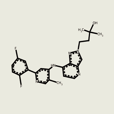 Cc1cnc(-c2cc(F)ccc2F)cc1Nc1ccnc2cn(CCC(C)(C)O)nc12